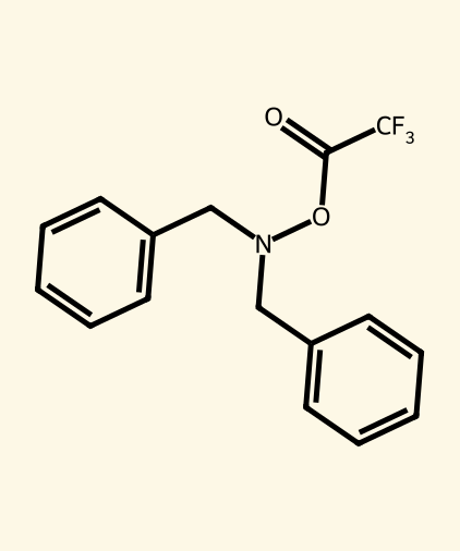 O=C(ON(Cc1ccccc1)Cc1ccccc1)C(F)(F)F